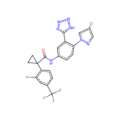 O=C(Nc1ccc(-n2cc(Cl)cn2)c(-c2nnn[nH]2)c1)C1(c2ccc(C(F)(F)F)cc2F)CC1